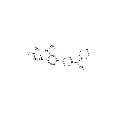 CNc1nc(-c2ccc(C(C)N3CCOCC3)cc2)ccc1NCC(C)(C)C